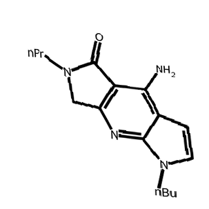 CCCCn1ccc2c(N)c3c(nc21)CN(CCC)C3=O